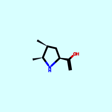 C=C(O)[C@@H]1C[C@@H](C)[C@@H](C)N1